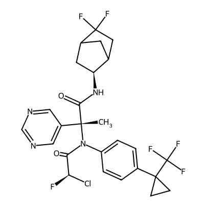 C[C@](C(=O)N[C@H]1CC2CC1CC2(F)F)(c1cncnc1)N(C(=O)[C@H](F)Cl)c1ccc(C2(C(F)(F)F)CC2)cc1